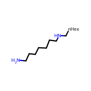 CCCCCCCNCCCCCCCN